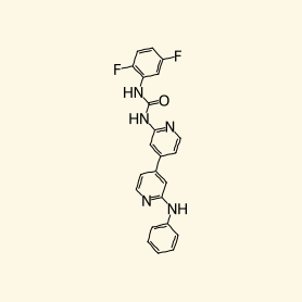 O=C(Nc1cc(-c2ccnc(Nc3ccccc3)c2)ccn1)Nc1cc(F)ccc1F